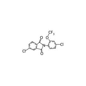 O=C1c2ccc(Cl)cc2C(=O)N1c1ccc(Cl)cc1OC(F)(F)F